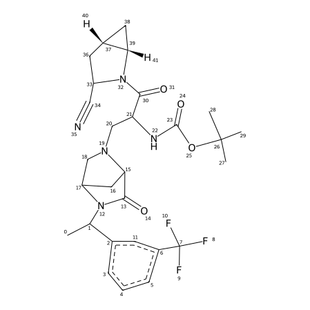 CC(c1cccc(C(F)(F)F)c1)N1C(=O)C2CC1CN2CC(NC(=O)OC(C)(C)C)C(=O)N1C(C#N)C[C@@H]2C[C@@H]21